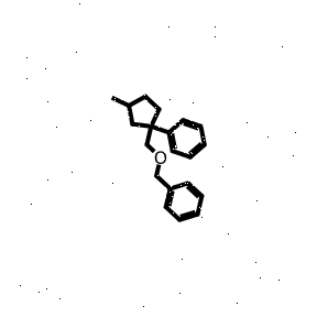 CC1CCC(COCc2ccccc2)(c2ccccc2)C1